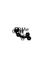 CCC(=O)C(Cc1ccc(CNC(=O)OCC2c3ccccc3-c3ccccc32)cc1)NC(=O)OC